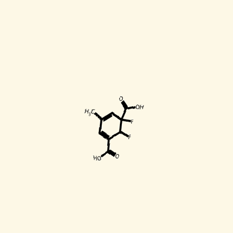 CC1=CC(F)(C(=O)O)C(F)C(C(=O)O)=C1